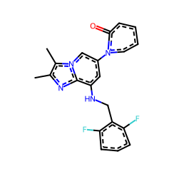 Cc1nc2c(NCc3c(F)cccc3F)cc(-n3ccccc3=O)cn2c1C